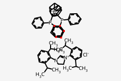 CC(C)c1cccc(C(C)C)c1N1C=[N+](c2c(C(C)C)cccc2C(C)C)CC1.[Cl-].c1ccc(P(c2ccccc2)[C]23[CH]4[CH]5[CH]6[C]2(P(c2ccccc2)c2ccccc2)[Fe]54632789[CH]3[CH]2[CH]7[CH]8[CH]39)cc1